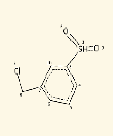 O=[SH](=O)c1cccc(CCl)c1